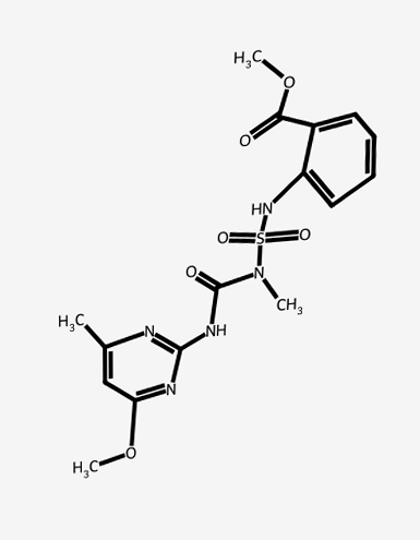 COC(=O)c1ccccc1NS(=O)(=O)N(C)C(=O)Nc1nc(C)cc(OC)n1